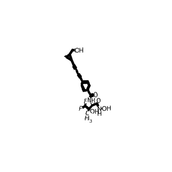 C[C@@](O)(C(F)F)[C@H](NC(=O)c1ccc(C#CC#CC2CC2CO)cc1)C(=O)NO